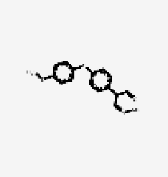 CSc1ccc(Oc2ccc(C([C]=O)/[C]=N\N)cc2)cc1